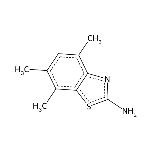 Cc1cc(C)c2nc(N)sc2c1C